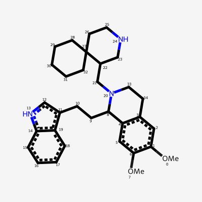 COc1cc2c(cc1OC)C(CCc1c[nH]c3ccccc13)N(CC1CNCCC13CCCCC3)CC2